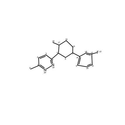 Cc1ccc(C2CC(c3cccc(F)c3)CCC2C)nn1